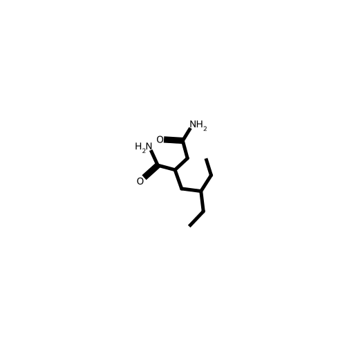 CCC(CC)CC(CC(N)=O)C(N)=O